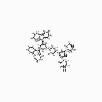 C1=CC2c3ccccc3N(c3cc(-c4ccc(-c5nc(C6=CCNC=C6)nc(-c6ccncc6)n5)cc4)cc(-n4c5ccccc5c5ccccc54)c3)C2C=C1